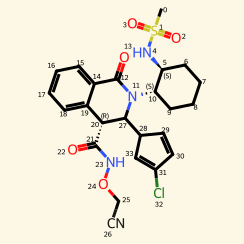 CS(=O)(=O)N[C@H]1CCCC[C@@H]1N1C(=O)c2ccccc2[C@@H](C(=O)NOCC#N)C1C1C=CC(Cl)=C1